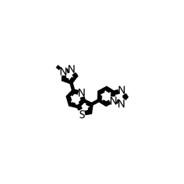 Cn1cc(-c2ccc3scc(-c4ccc5ncnn5c4)c3n2)cn1